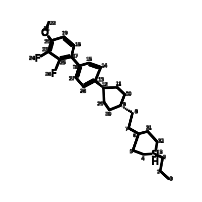 CCC[SiH]1CCC(CC[C@H]2CC[C@H](c3ccc(-c4ccc(OC)c(F)c4F)cc3)CC2)CC1